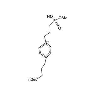 CCCCCCCCCCCCCc1cc[n+](CCCP(=O)(O)OC)cc1